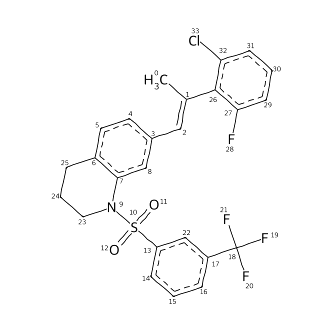 C/C(=C\c1ccc2c(c1)N(S(=O)(=O)c1cccc(C(F)(F)F)c1)CCC2)c1c(F)cccc1Cl